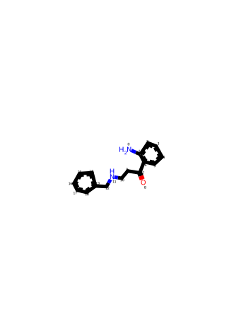 Nc1ccccc1C(=O)CCNCc1ccccc1